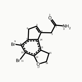 NC(=O)CC1=CCc2c(Br)c(Br)c3c(c21)CCO3